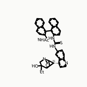 CCC1(O)CN2CCC1C1C2[C@@H]1c1ccnc2ccc(NC(=S)Nc3ccc4ccccc4c3-c3c(NC(C)=O)ccc4ccccc34)cc12